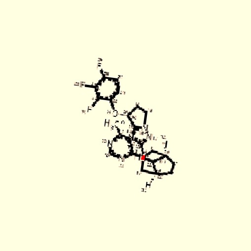 Cc1cc(N2C[C@H]3CC[C@@H](C2)C3Nc2nc3n(n2)CC[C@H]3Oc2ccc(F)c(F)c2F)ncn1